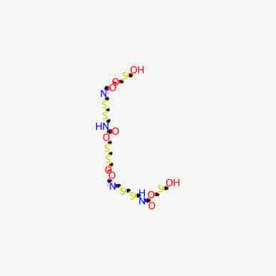 O=C(NCSCSC/N=C\OOCSCSCOC(=O)NCSCSC/N=C\OOCSCO)OCSCO